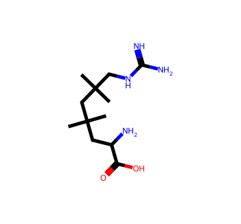 CC(C)(CNC(=N)N)CC(C)(C)CC(N)C(=O)O